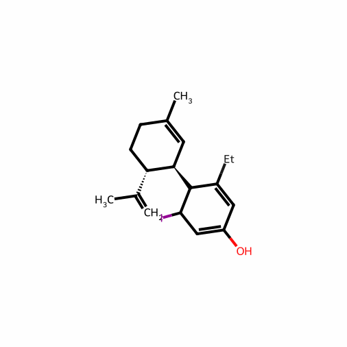 C=C(C)[C@@H]1CCC(C)=C[C@H]1C1C(CC)=CC(O)=CC1I